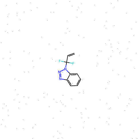 C=CC(F)(F)n1nnc2ccccc21